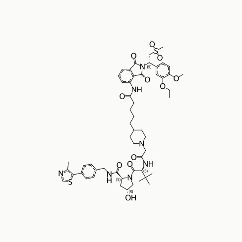 CCOc1cc([C@@H](CS(C)(=O)=O)N2C(=O)c3cccc(NC(=O)CCCCC4CCN(CC(=O)N[C@H](C(=O)N5C[C@H](O)C[C@H]5C(=O)NCc5ccc(-c6scnc6C)cc5)C(C)(C)C)CC4)c3C2=O)ccc1OC